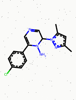 Cc1cc(C)n(C2C=NC=C(c3ccc(Cl)cc3)N2N)n1